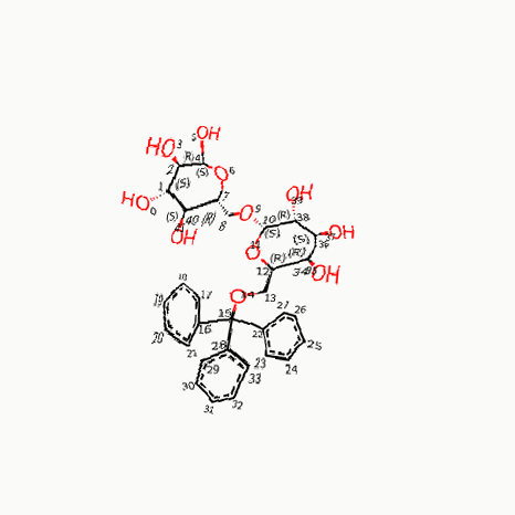 O[C@@H]1[C@@H](O)[C@@H](O)O[C@H](CO[C@H]2O[C@H](COC(c3ccccc3)(c3ccccc3)c3ccccc3)[C@H](O)[C@H](O)[C@H]2O)[C@H]1O